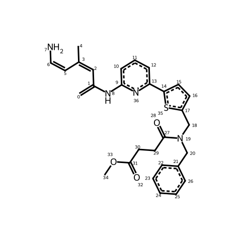 C=C(/C=C(C)\C=C/N)Nc1cccc(-c2ccc(CN(Cc3ccccc3)C(=O)CCC(=O)OC)s2)n1